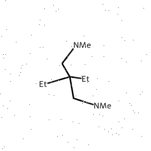 CCC(CC)(CNC)CNC